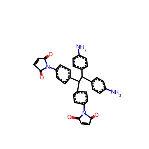 Nc1ccc(C(c2ccc(N)cc2)C(c2ccc(N3C(=O)C=CC3=O)cc2)c2ccc(N3C(=O)C=CC3=O)cc2)cc1